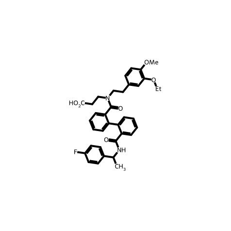 CCOc1cc(CCN(CCC(=O)O)C(=O)c2ccccc2-c2ccccc2C(=O)NC(C)c2ccc(F)cc2)ccc1OC